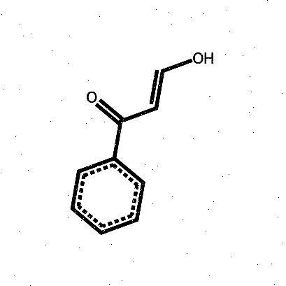 O=C(C=CO)c1ccccc1